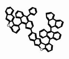 c1ccc(-c2c3ccccc3c(-c3cccc4oc5cc6ccccc6cc5c34)c3cc(-c4ccc5cc6oc7cccc(-c8c9ccccc9c(-c9cc%10ccccc%10c%10ccccc9%10)c9ccccc89)c7c6cc5c4)ccc23)cc1